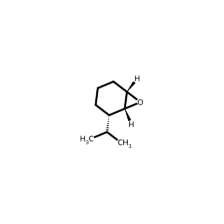 CC(C)[C@@H]1CCC[C@@H]2O[C@@H]21